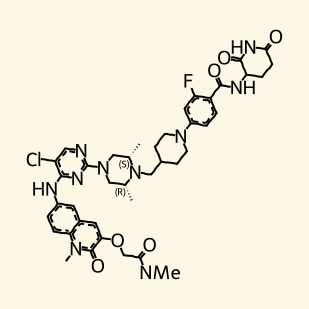 CNC(=O)COc1cc2cc(Nc3nc(N4C[C@@H](C)N(CC5CCN(c6ccc(C(=O)NC7CCC(=O)NC7=O)c(F)c6)CC5)[C@@H](C)C4)ncc3Cl)ccc2n(C)c1=O